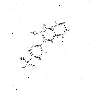 CS(=O)(=O)c1ccc(-c2cc3ccccc3[nH]c2=O)cc1